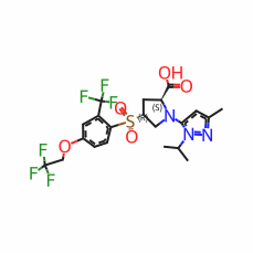 Cc1cc(N2C[C@H](S(=O)(=O)c3ccc(OCC(F)(F)F)cc3C(F)(F)F)C[C@H]2C(=O)O)n(C(C)C)n1